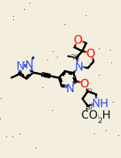 Cc1cc(C#Cc2cnc(O[C@@H]3CN[C@H](C(=O)O)C3)c(N3CCOC4(COC4)[C@@H]3C)c2)n(C)n1